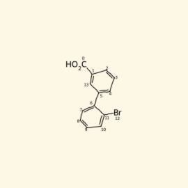 O=C(O)c1cccc(-c2ccccc2Br)c1